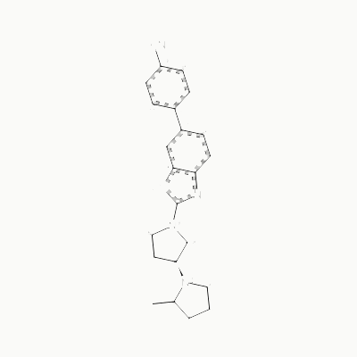 CC1CCCN1[C@H]1CCN(c2nc3ccc(-c4ccc(C#N)cc4)cc3s2)C1